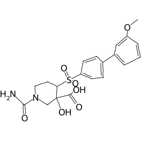 COc1cccc(-c2ccc(S(=O)(=O)C3CCN(C(N)=O)CC3(O)C(=O)O)cc2)c1